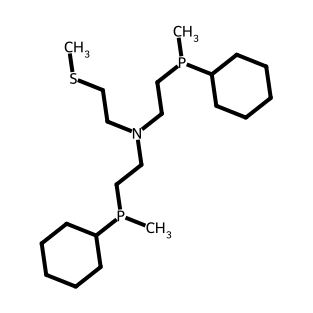 CSCCN(CCP(C)C1CCCCC1)CCP(C)C1CCCCC1